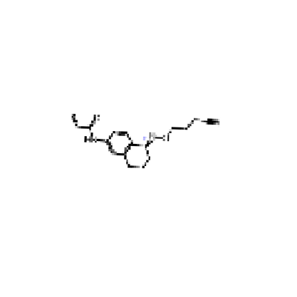 C#CCCCO/N=C1\CCCc2cc(NC(=O)C=C)ccc21